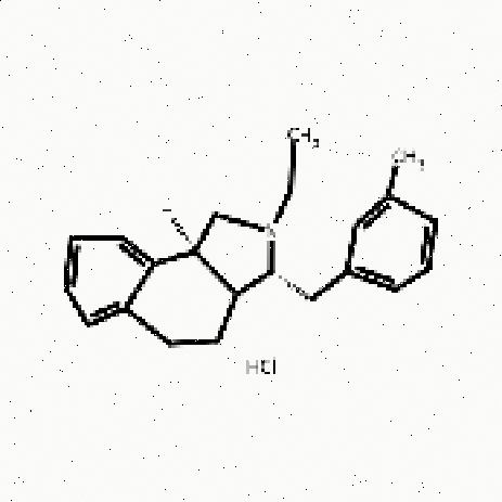 CCN1C[C@@H]2c3ccccc3CCC2[C@H]1Cc1cccc(C)c1.Cl